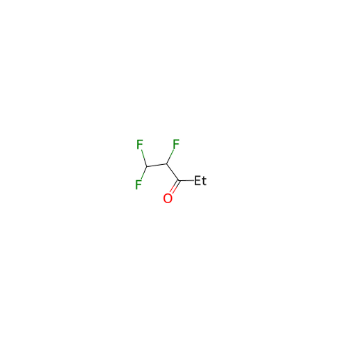 CCC(=O)C(F)C(F)F